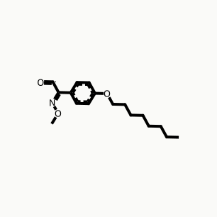 CCCCCCCCOc1ccc(/C([C]=O)=N\OC)cc1